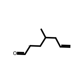 C=CCC(C)C[CH]C=O